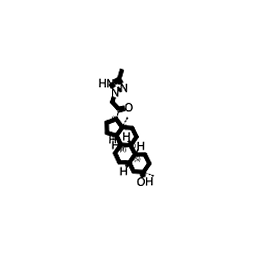 Cc1nn(CC(=O)[C@H]2CC[C@H]3[C@@H]4CC[C@H]5C[C@](C)(O)CC[C@@H]5[C@H]4CC[C@]23C)[nH]1